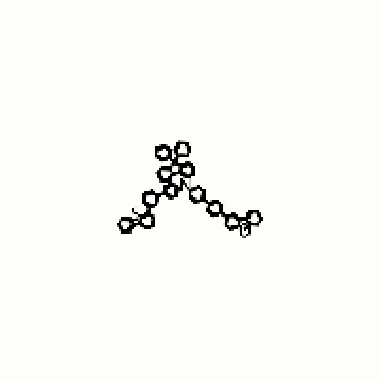 c1ccc(C2(c3ccccc3)c3ccccc3-c3c(N(c4ccc(-c5ccc(-c6ccc7oc8ccccc8c7c6)cc5)cc4)c4ccc(-c5cccc(-c6cccc7c6sc6ccccc67)c5)cc4)cccc32)cc1